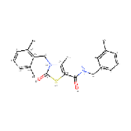 Cc1cccc(CNC(=O)c2sc(=O)n(Cc3c(C)cccc3C)c2C)c1